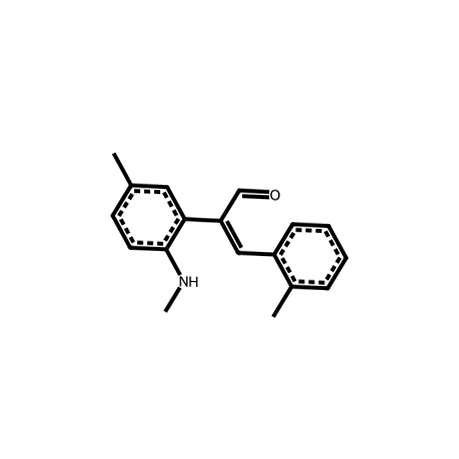 CNc1ccc(C)cc1/C(C=O)=C/c1ccccc1C